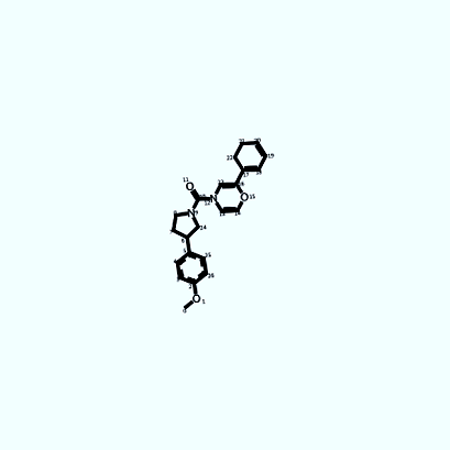 COc1ccc(C2CCN(C(=O)N3C=COC(C4=CC=CCC4)=C3)C2)cc1